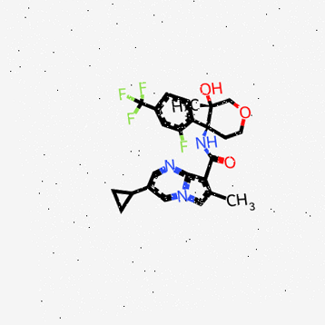 Cc1cn2cc(C3CC3)cnc2c1C(=O)N[C@]1(c2ccc(C(F)(F)F)cc2F)CCOC[C@@]1(C)O